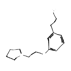 NCCc1cccc(OCCN2CCCC2)c1